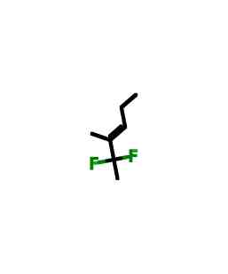 CC/C=C(\C)C(C)(F)F